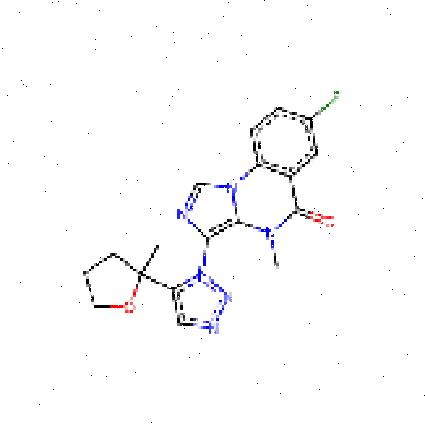 CN1C(=O)c2cc(F)ccc2[N+]2C=NC(n3nncc3C3(C)CCCO3)=C12